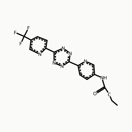 CCCC(=O)Nc1ccc(-c2nnc(-c3ccc(C(F)(F)F)cn3)nn2)nc1